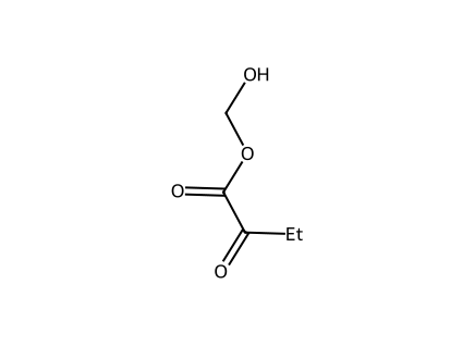 CCC(=O)C(=O)OCO